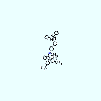 CC1=C(/C=C(\C)C2CC=CC(c3cccc(-c4nc(-c5ccccc5)nc(-c5ccccc5)n4)c3)=CC2)c2ccccc2C1(c1ccc(C)cc1)c1ccc(C)cc1